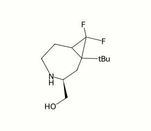 CC(C)(C)C12C[C@@H](CO)NCCC1C2(F)F